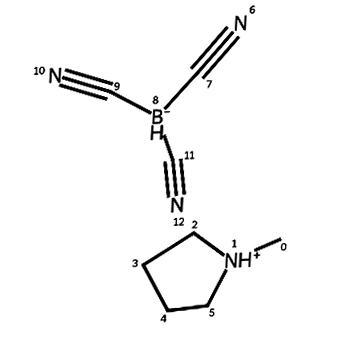 C[NH+]1CCCC1.N#C[BH-](C#N)C#N